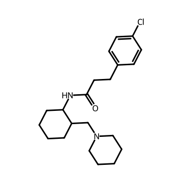 O=C(CCc1ccc(Cl)cc1)NC1CCCCC1CN1CCCCC1